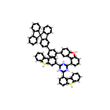 c1cc(-c2ccc3c(c2)-c2ccccc2C32c3ccccc3-c3ccccc32)cc(-c2ccc3oc4cccc(-c5nc(-c6ccc7c(c6)sc6ccccc67)nc(-c6cccc7sc8ccccc8c67)n5)c4c3c2)c1